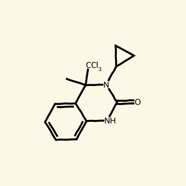 CC1(C(Cl)(Cl)Cl)c2ccccc2NC(=O)N1C1CC1